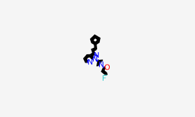 O=C(C=CF)N1CC(n2nc(C=Cc3ccccc3)c3cccnc32)C1